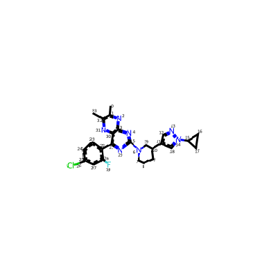 Cc1nc2nc(N3CCCC(c4cnn(C5CC5)c4)C3)nc(-c3ccc(Cl)cc3F)c2nc1C